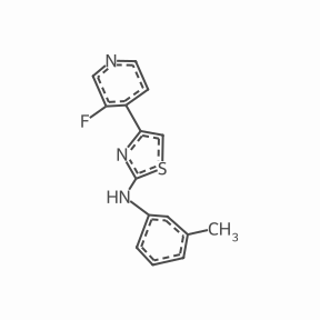 Cc1cccc(Nc2nc(-c3ccncc3F)cs2)c1